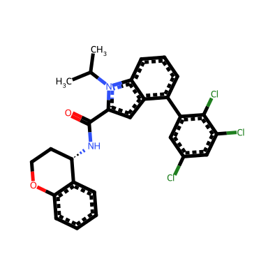 CC(C)n1c(C(=O)N[C@H]2CCOc3ccccc32)cc2c(-c3cc(Cl)cc(Cl)c3Cl)cccc21